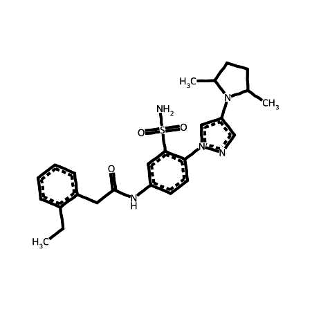 CCc1ccccc1CC(=O)Nc1ccc(-n2cc(N3C(C)CCC3C)cn2)c(S(N)(=O)=O)c1